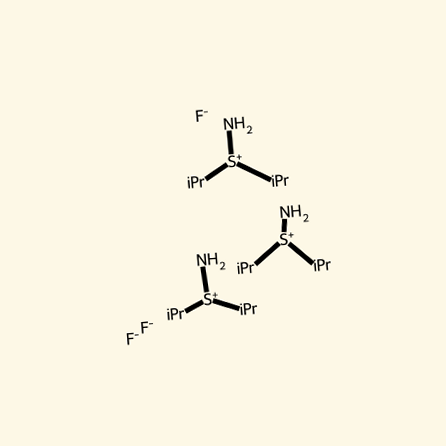 CC(C)[S+](N)C(C)C.CC(C)[S+](N)C(C)C.CC(C)[S+](N)C(C)C.[F-].[F-].[F-]